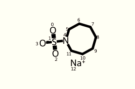 O=S(=O)([O-])N1CCCCCCC1.[Na+]